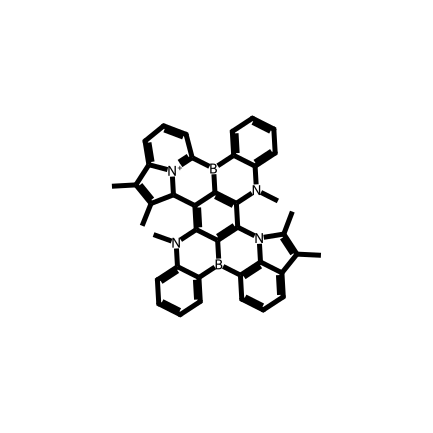 CC1=C(C)C2c3c4c(c5c6c3N(C)c3ccccc3B6c3cccc6c(C)c(C)n-5c36)N(C)c3ccccc3B4c3cccc1[n+]32